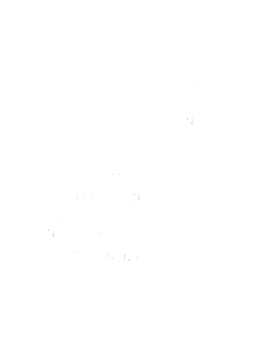 CC(C)(C)OC(=O)n1c(-c2cc(-c3ccncc3)n[nH]c2=O)cc2ccc(CCN3CCCCC3)cc21